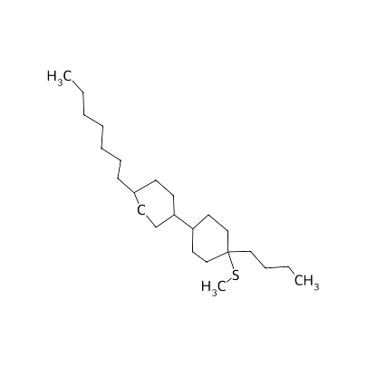 CCCCCCCC1CCC(C2CCC(CCCC)(SC)CC2)CC1